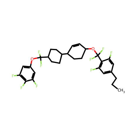 CCCc1cc(F)c(C(F)(F)OC2C=CC(C3CCC(C(F)(F)Oc4cc(F)c(F)c(F)c4)CC3)CC2)c(F)c1